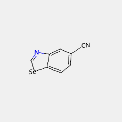 N#Cc1ccc2[se]cnc2c1